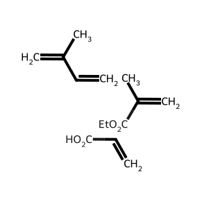 C=C(C)C(=O)OCC.C=CC(=C)C.C=CC(=O)O